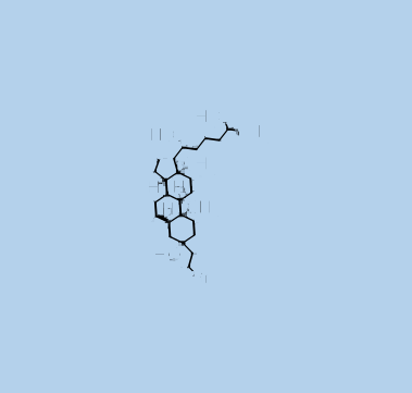 CC(C)CCC[C@@H](C)[C@H]1CC[C@H]2[C@@H]3CC=C4C[C@](O)(CCBr)CC[C@]4(C)[C@H]3CC[C@]12C